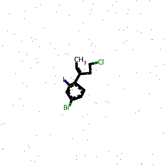 CC=C(CCCl)c1ccc(Br)cc1I